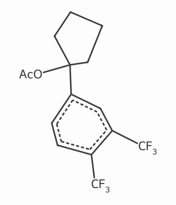 CC(=O)OC1(c2ccc(C(F)(F)F)c(C(F)(F)F)c2)CCCC1